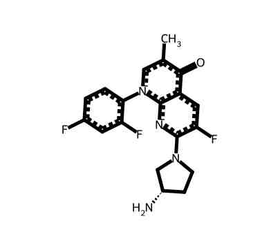 Cc1cn(-c2ccc(F)cc2F)c2nc(N3CC[C@H](N)C3)c(F)cc2c1=O